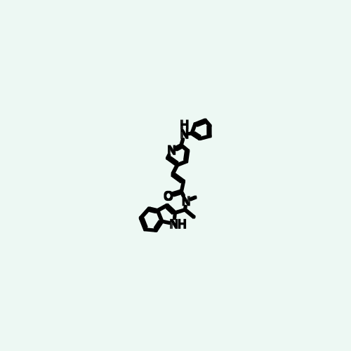 CC(c1cc2ccccc2[nH]1)N(C)C(=O)/C=C/c1ccc(Nc2ccccc2)nc1